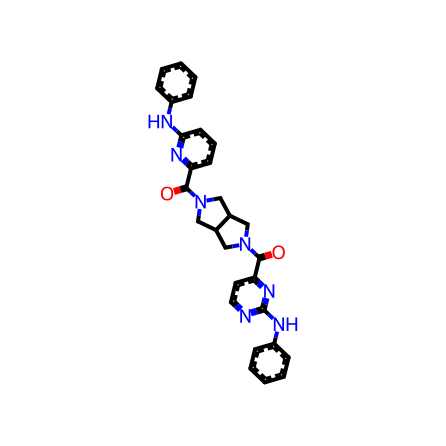 O=C(c1cccc(Nc2ccccc2)n1)N1CC2CN(C(=O)c3ccnc(Nc4ccccc4)n3)CC2C1